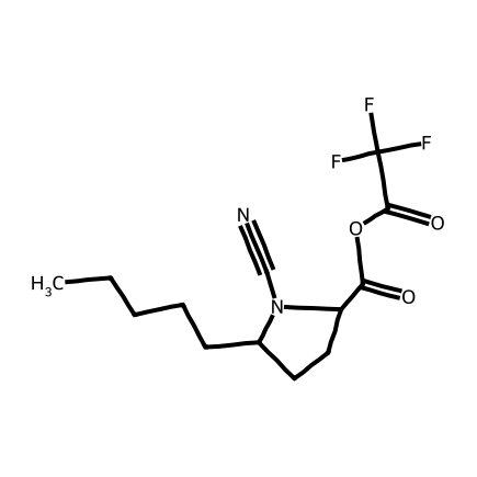 CCCCCC1CCC(C(=O)OC(=O)C(F)(F)F)N1C#N